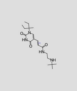 CCC(C)(CC)n1cc(/C=C/C(=O)NCCNC(C)(C)C)c(=O)[nH]c1=O